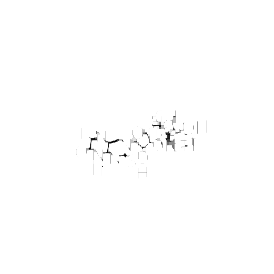 CCC(C)(C[C@H]1O[C@@H](n2cc3nc(F)c(=O)[nH]c3nc2=S)[C@@H](O)C1O)OP(=O)(O)C(C)(O)CC